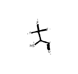 O=[C]C(S)C(F)(F)F